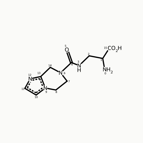 NC(CNC(=O)N1CCn2ccnc2C1)C(=O)O